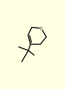 CC(C)(C)C1=CCOCC1